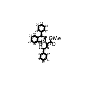 COC(=O)C(=CC(=O)c1ccccc1)NN=C(c1ccccc1)c1ccccc1Br